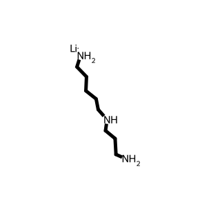 NCCCCCNCCCN.[Li]